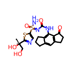 C[C@](O)(CO)c1ncc(S(N)(=O)=NC(=O)Nc2c3c(cc4c2C(=O)CC4)CCC3)s1